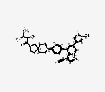 CC(C)C(O)C(=O)N1CCC2(CCN(c3ccc(-c4cc(-c5cnn(C)c5)cn5ncc(C#N)c45)cn3)CC2)C1